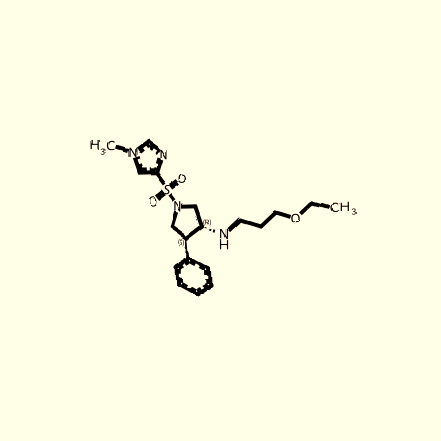 CCOCCCN[C@H]1CN(S(=O)(=O)c2cn(C)cn2)C[C@@H]1c1ccccc1